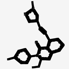 CCc1cc2cccc(C#Cc3cnn(C)c3)c2c(=O)n1-c1ccc(C)cc1